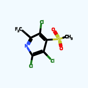 CS(=O)(=O)c1c(Cl)c(Cl)nc(C(F)(F)F)c1Cl